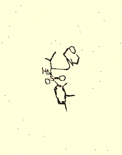 Cc1ccc(S(=O)(=O)NC(CN2CCOCC2)C(C)C)c(C)c1C